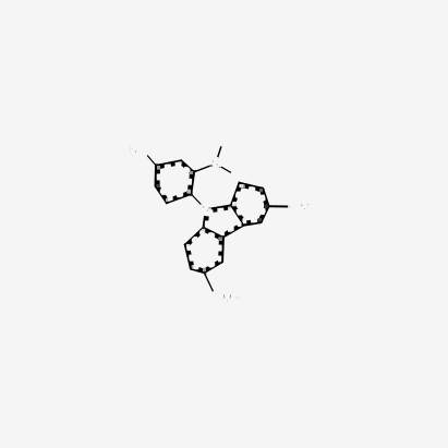 COc1ccc2c(c1)c1cc(OC)ccc1n2-c1ccc(C#N)cc1N(C)C